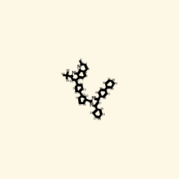 Cc1ccc2ccc3c(-c4ccc(-c5cccc(-c6nc(-c7ccccc7)cc(-c7ccc(-c8ccccc8)cc7)n6)c5)cc4)cc(C(C)(C)C)nc3c2n1